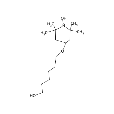 CC1(C)CC(OCCCCCCO)CC(C)(C)N1O